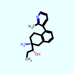 CC[C@@H](O)[C@]1(N)CCc2c(cccc2-c2cccnc2C)C1